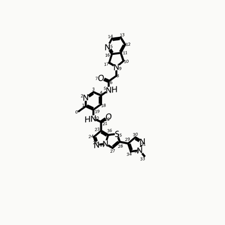 Cc1ncc(NC(=O)CN2Cc3cccnc3C2)cc1NC(=O)c1cnn2cc(-c3cnn(C)c3)sc12